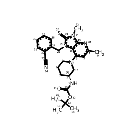 Cc1cc(N2CCC[C@@H](NC(=O)OC(C)(C)C)C2)c2c(n1)n(C)c(=S)n2Cc1ccccc1C#N